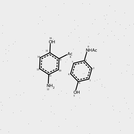 CC(=O)Nc1ccc(O)cc1.CC(=O)c1cc(N)ccc1O